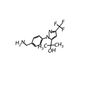 CC(C)(O)c1cc(C(F)(F)F)nn1-c1ccc(CN)cc1